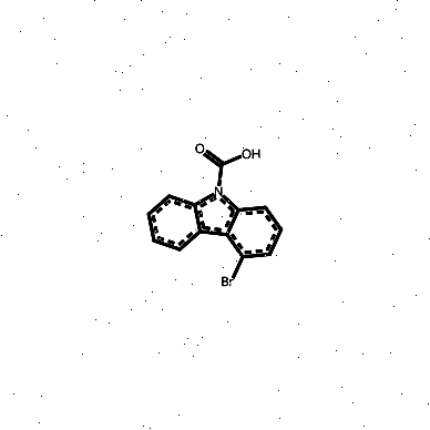 O=C(O)n1c2ccccc2c2c(Br)cccc21